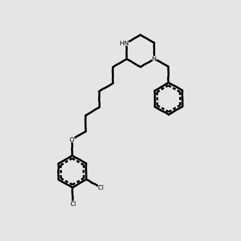 Clc1ccc(OCCCCCCC2CN(Cc3ccccc3)CCN2)cc1Cl